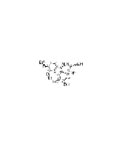 C#CC1=NN=C(c2ccc(OCC)c(OCC)c2)c2cc(O)c(O)cc2[C@H]1CC